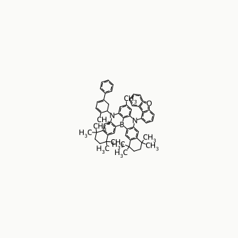 CC1=CC=C(c2ccccc2)CC1N1c2cc3c(cc2B2c4cc5c(cc4N(c4cccc6oc7ccccc7c46)c4cc(C)cc1c42)C(C)(C)CCC5(C)C)C(C)(C)CCC3(C)C